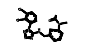 CC(=O)N(C)c1cccc(CNc2nnnn2-c2cccc(Cl)c2Cl)c1